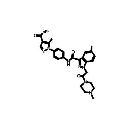 CCCC(=O)c1cnn(-c2ccc(NC(=O)c3nn(CC(=O)N4CCN(C)CC4)c4ccc(C)cc34)cc2)c1C